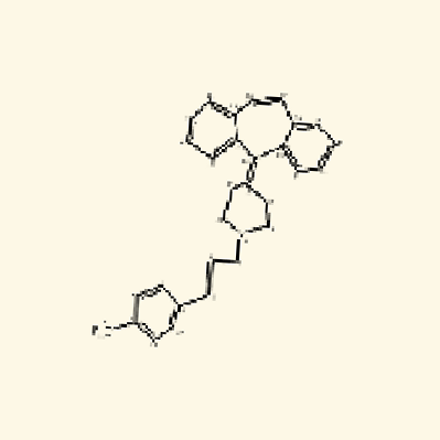 FC(F)(F)c1ccc(/C=C/CN2CCC(=C3c4ccccc4C=Cc4ccccc43)CC2)cc1